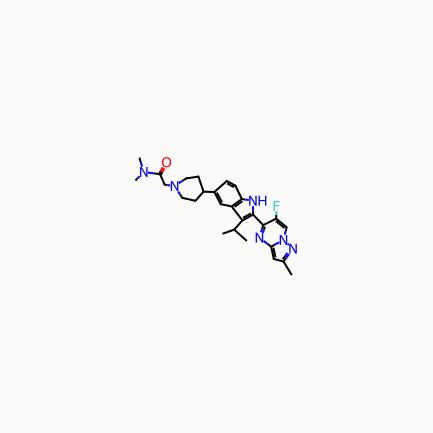 Cc1cc2nc(-c3[nH]c4ccc(C5CCN(CC(=O)N(C)C)CC5)cc4c3C(C)C)c(F)cn2n1